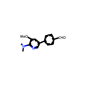 COc1cc(-c2ccc(C=O)cc2)cnc1N(C)C